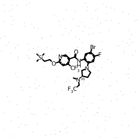 CN(CC(F)(F)F)[C@@H]1CCN(c2cc(F)c(Br)cc2NC(=O)c2cnc(OCC[Si](C)(C)C)cc2C(F)(F)F)C1